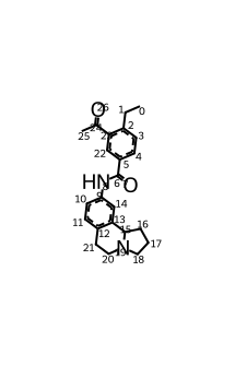 CCc1ccc(C(=O)Nc2ccc3c(c2)C2CCCN2CC3)cc1C(C)=O